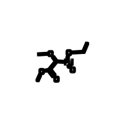 CCO[PH](=O)C(OC)C(=O)OC